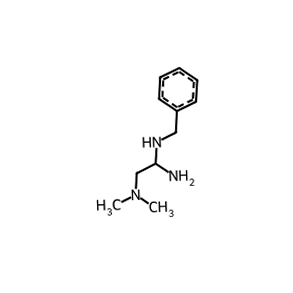 CN(C)CC(N)NCc1ccccc1